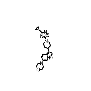 c1cc2c(C3CCN(c4nc(C5CC5)no4)CC3)cnn2cc1N1CCOCC1